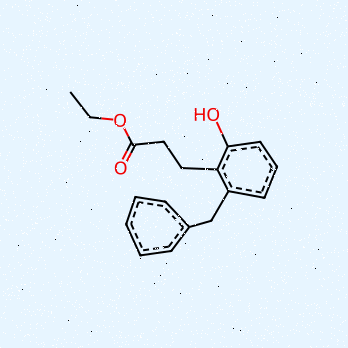 CCOC(=O)CCc1c(O)cccc1Cc1ccccc1